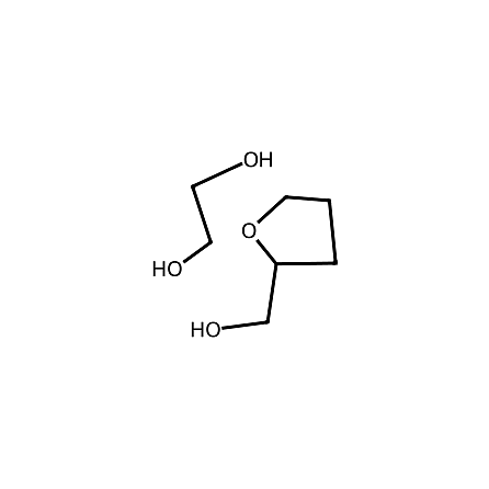 OCC1CCCO1.OCCO